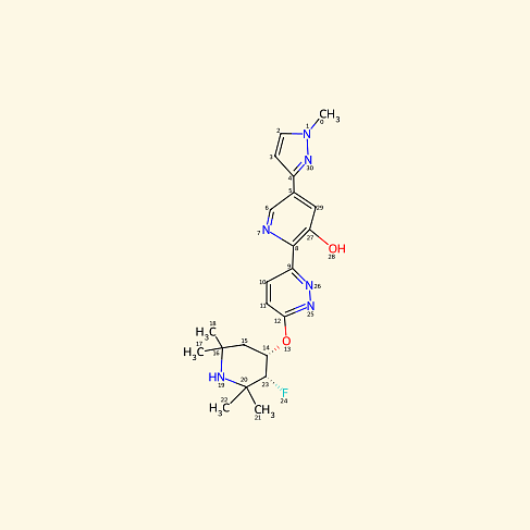 Cn1ccc(-c2cnc(-c3ccc(O[C@H]4CC(C)(C)NC(C)(C)[C@H]4F)nn3)c(O)c2)n1